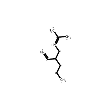 CCCC(C=N)CN=C(C)C